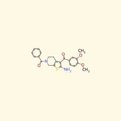 COc1ccc(C(=O)c2c(N)sc3c2CCN(C(=O)c2ccccc2)C3)cc1OC